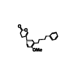 COc1ccc(C2=COC(=O)CC2)cc1CCCCc1ccccc1